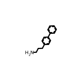 NCCCc1ccc(-c2ccccc2)cc1